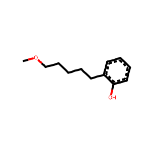 COCCCCCc1ccccc1O